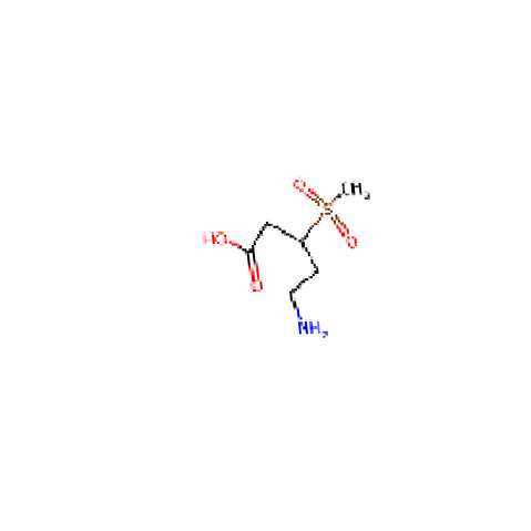 CS(=O)(=O)C(CCN)CC(=O)O